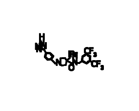 CC(C)CC1(C(=O)NCc2cc(C(F)(F)F)cc(C(F)(F)F)c2)CCN(Cc2ccc(-c3nn[nH]n3)cc2)CC1